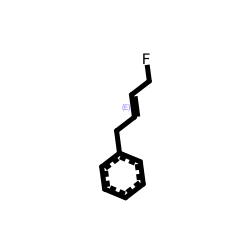 FC/C=C/Cc1ccccc1